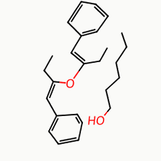 CCC(=Cc1ccccc1)OC(=Cc1ccccc1)CC.CCCCCCO